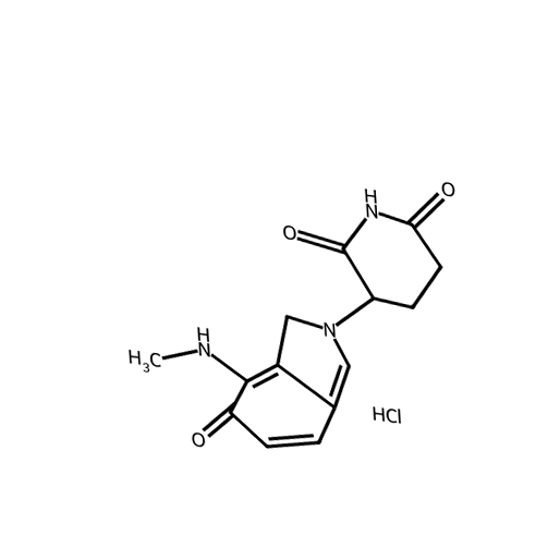 CNC1=C2CN(C3CCC(=O)NC3=O)C=C2C=CC1=O.Cl